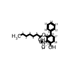 CCCCCCC(C)Oc1c(-c2ccccc2)ccc(O)c1[N+](=O)[O-]